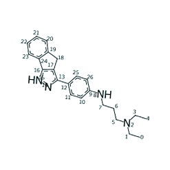 CCN(CC)CCCNc1ccc(-c2n[nH]c3c2Cc2ccccc2-3)cc1